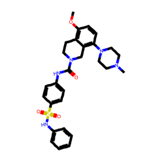 COc1ccc(N2CCN(C)CC2)c2c1CCN(C(=O)Nc1ccc(S(=O)(=O)Nc3ccccc3)cc1)C2